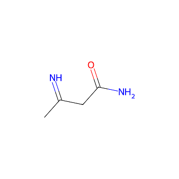 CC(=N)CC(N)=O